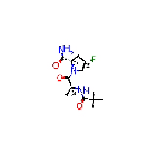 C[C@H](NC(=O)C(C)(C)C)C(=O)N1C[C@@H](F)C[C@H]1C(N)=O